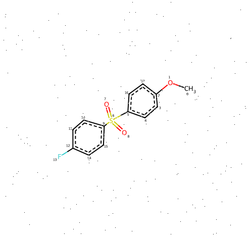 COc1ccc(S(=O)(=O)c2ccc(F)cc2)cc1